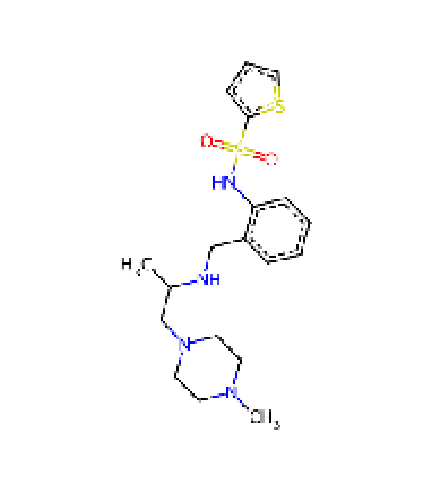 CC(CN1CCN(C)CC1)NCc1ccccc1NS(=O)(=O)c1cccs1